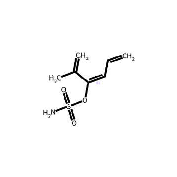 C=C/C=C(/OS(N)(=O)=O)C(=C)C